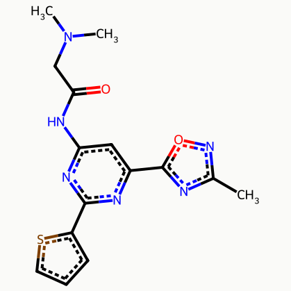 Cc1noc(-c2cc(NC(=O)CN(C)C)nc(-c3cccs3)n2)n1